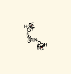 O=C(N1CCN(Cc2ccc(C(O)(C(F)(F)F)C(F)(F)F)cc2)CC1)N1CCN(Cc2ccc(C(O)(C(F)(F)F)C(F)(F)F)cc2)CC1